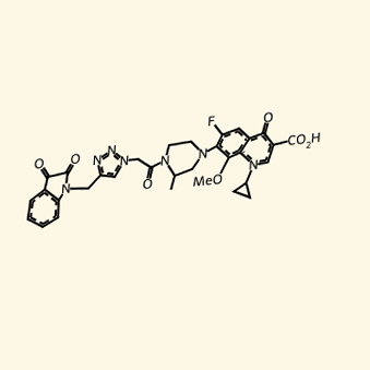 COc1c(N2CCN(C(=O)Cn3cc(CN4C(=O)C(=O)c5ccccc54)nn3)C(C)C2)c(F)cc2c(=O)c(C(=O)O)cn(C3CC3)c12